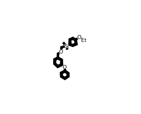 CCOc1ccc([Si](C)(C)COCc2cccc(Oc3ccccc3)c2)cc1